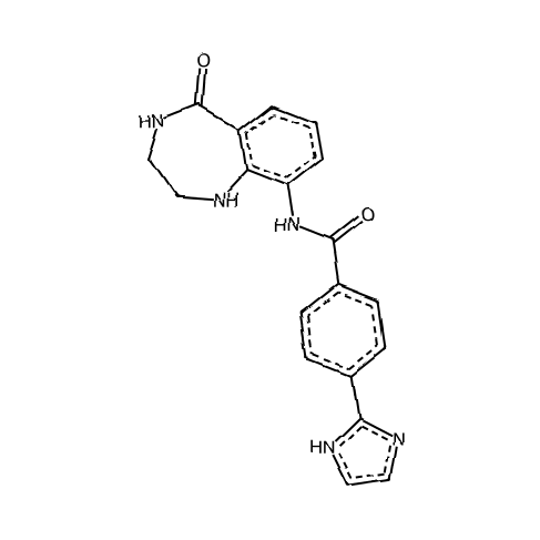 O=C(Nc1cccc2c1NCCNC2=O)c1ccc(-c2ncc[nH]2)cc1